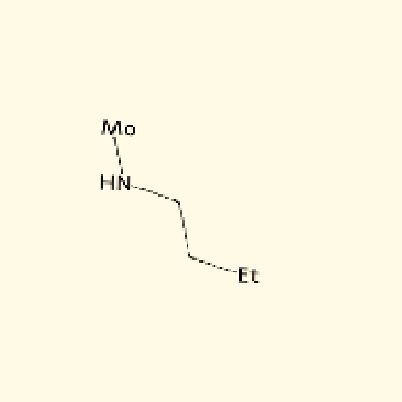 CCCC[NH][Mo]